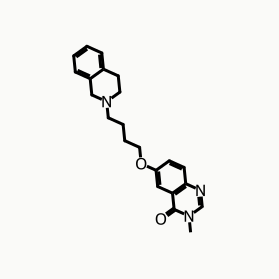 Cn1cnc2ccc(OCCCCN3CCc4ccccc4C3)cc2c1=O